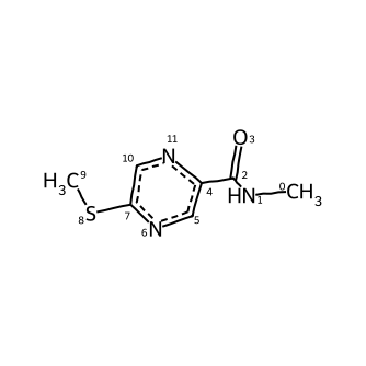 CNC(=O)c1cnc(SC)cn1